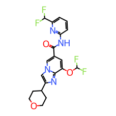 O=C(Nc1cccc(C(F)F)n1)c1cc(OC(F)F)c2nc(C3CCOCC3)cn2c1